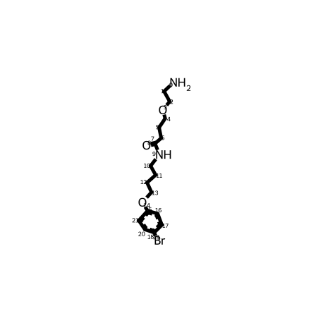 NCCOCCCC(=O)NCCCCOc1ccc(Br)cc1